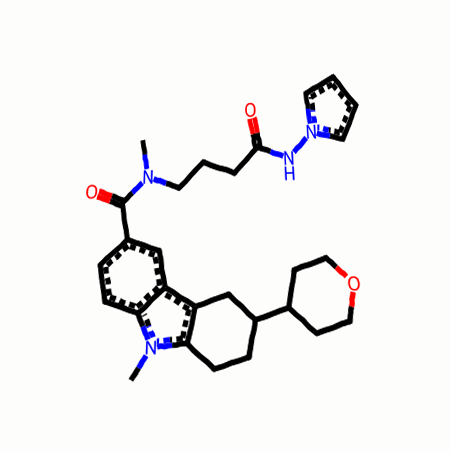 CN(CCCC(=O)Nn1cccc1)C(=O)c1ccc2c(c1)c1c(n2C)CCC(C2CCOCC2)C1